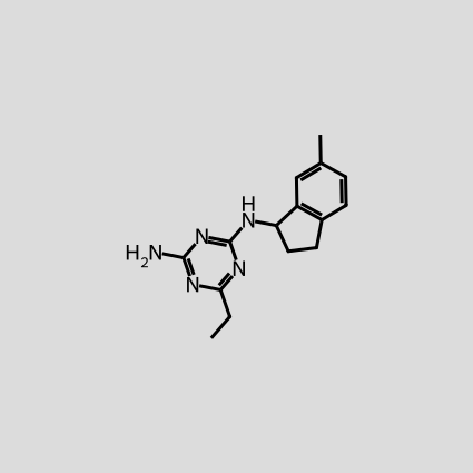 CCc1nc(N)nc(NC2CCc3ccc(C)cc32)n1